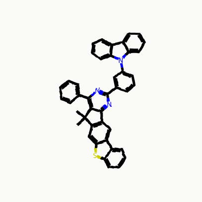 CC1(C)c2cc3sc4ccccc4c3cc2-c2nc(-c3cccc(-n4c5ccccc5c5ccccc54)c3)nc(-c3ccccc3)c21